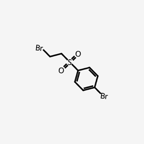 O=S(=O)(CCBr)c1ccc(Br)cc1